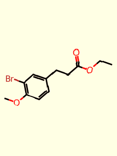 CCOC(=O)CCc1ccc(OC)c(Br)c1